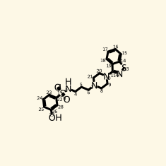 O=S(=O)(NCCCN1CCN(c2nsc3ccccc23)CC1)c1cccc(O)c1